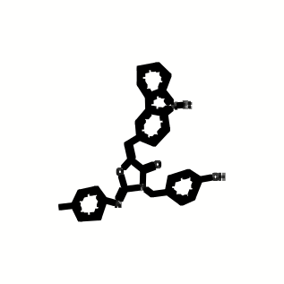 CCn1c2ccccc2c2cc(/C=C3/O/C(=N\c4ccc(C)cc4)N(Cc4ccc(O)cc4)C3=O)ccc21